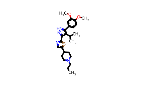 CCCN1CCC(c2cnc(-c3n[nH]c(-c4ccc(OC)c(OC)c4)c3C(C)C)s2)CC1